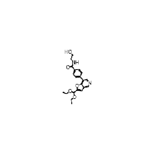 CCOC(OCC)c1cc2cncc(-c3ccc(C(=O)NCCO)cc3)c2o1